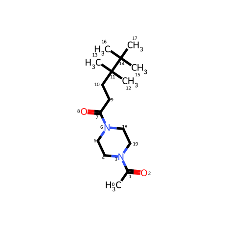 CC(=O)N1CCN(C(=O)CCC(C)(C)C(C)(C)C)CC1